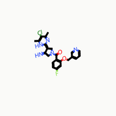 CC1=N/C(=C2\CN(C(=O)c3ccc(F)cc3OCc3cccnc3)CC2=N)NC(C)=C1Cl